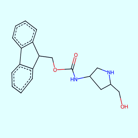 O=C(NC1CNC(CO)C1)OCC1c2ccccc2-c2ccccc21